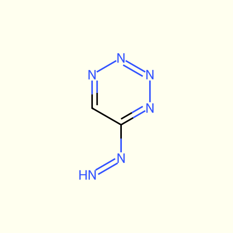 N=Nc1cnnnn1